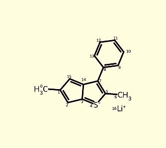 CC1=CC2=[S-]C(C)=C(c3ccccc3)C2=C1.[Li+]